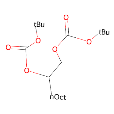 CCCCCCCCC(COC(=O)OC(C)(C)C)OC(=O)OC(C)(C)C